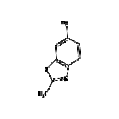 Cc1nc2ccc([18F])cc2s1